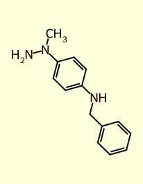 CN(N)c1ccc(NCc2ccccc2)cc1